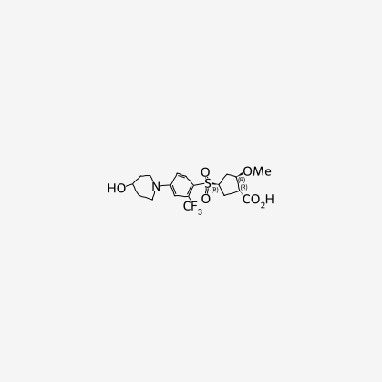 CO[C@@H]1C[C@H](S(=O)(=O)c2ccc(N3CCC(O)CC3)cc2C(F)(F)F)C[C@H]1C(=O)O